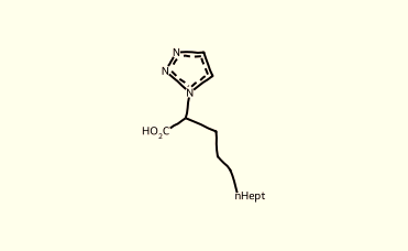 CCCCCCCCCCC(C(=O)O)n1ccnn1